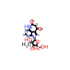 C[C@@]1(O)[C@H](O)[C@@H](CO)O[C@H]1n1cc2c3c(ncnc31)NC(=O)CC2=O